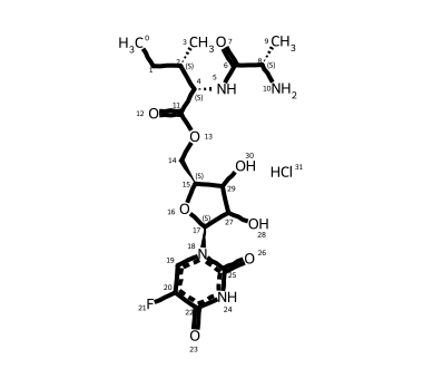 CC[C@H](C)[C@H](NC(=O)[C@H](C)N)C(=O)OC[C@@H]1O[C@H](n2cc(F)c(=O)[nH]c2=O)C(O)C1O.Cl